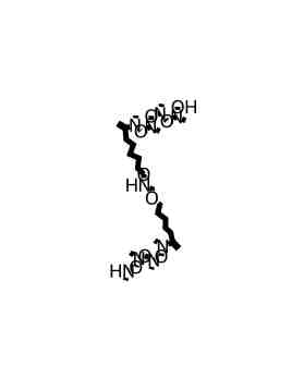 C=C(CCCCCOCNOCCCCCC(=C)N(C)ON(C)ON(C)ON(C)O)N(C)ON(C)ON(C)ONC